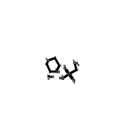 C1COCCN1.CCS(=O)(=O)O.[NaH]